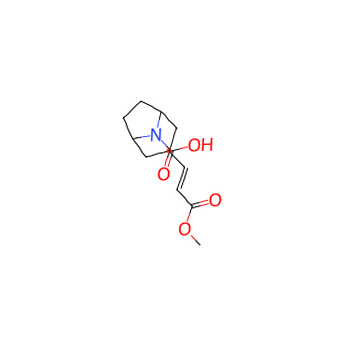 COC(=O)/C=C/C1CC2CCC(C1)N2C(=O)O